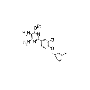 CCOc1nc(-c2ccc(OCc3cccc(F)c3)c(Cl)c2)nc(N)c1N